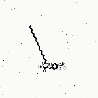 CC/C=C/C/C=C/C/C=C/CCCCCCCC(=O)N[C@@H](Cc1ccc(OP(=O)(O)O)cc1)C(=O)O